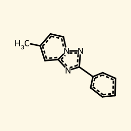 Cc1ccn2nc(-c3ccccc3)nc2c1